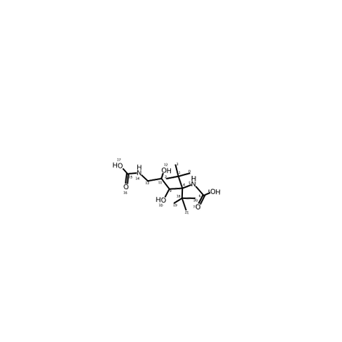 CC(C)(C)C(NC(=O)O)(C(O)C(O)CNC(=O)O)C(C)(C)C